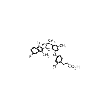 CCc1cc(Oc2cc(C)cc([C@@H](C)NC(=O)c3[nH]c4ccc(F)cc4c3C)c2)ccc1CCC(=O)O